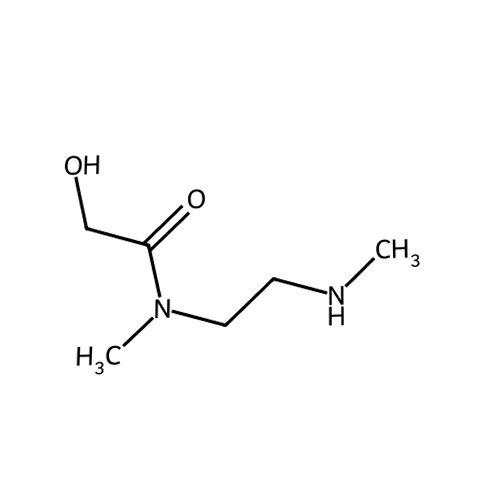 CNCCN(C)C(=O)CO